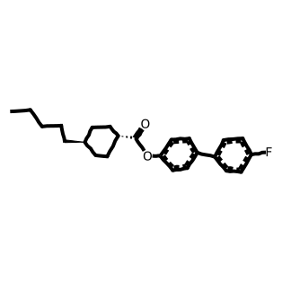 CCCCC[C@H]1CC[C@H](C(=O)Oc2ccc(-c3ccc(F)cc3)cc2)CC1